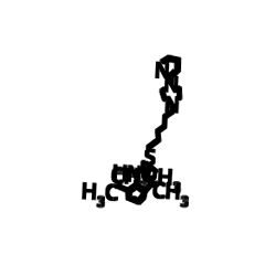 CC(C)c1cccc(C(C)C)c1NC(=O)CSCCCCCCN1CCN(c2ccccn2)CC1